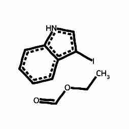 CCOC=O.Ic1c[nH]c2ccccc12